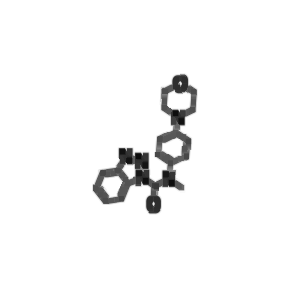 CN(C(=O)n1nnc2ccccc21)c1ccc(N2CCOCC2)cc1